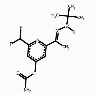 CC(=N[S+]([O-])C(C)(C)C)c1cc(OC(N)=O)cc(C(F)F)n1